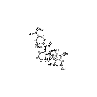 COC(=O)c1ccc(NC(=O)[C@@H]2N[C@@H](CC(C)(C)C)[C@](N)(c3ccc(Cl)cc3F)[C@H]2c2ccccc2)c(OC)c1